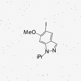 COc1cc2c(cnn2C(C)C)cc1I